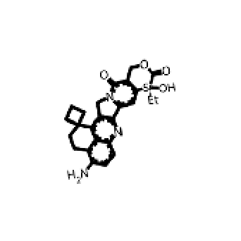 CC[Si@@]1(O)C(=O)OCc2c1cc1n(c2=O)Cc2c-1nc1ccc(N)c3c1c2C1(CCC1)CC3